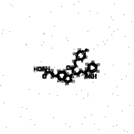 CN1CCN(CCC(=O)N(CCc2c[nH]c3ccccc23)C2CCc3cc(C=CC(=O)NO)ccc32)CC1